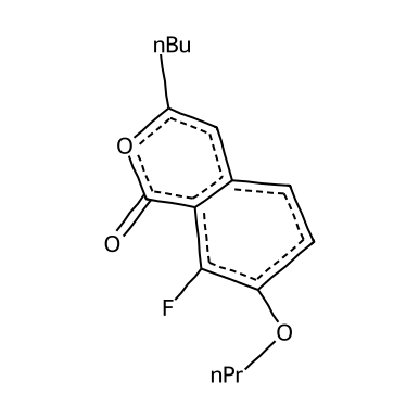 CCCCc1cc2ccc(OCCC)c(F)c2c(=O)o1